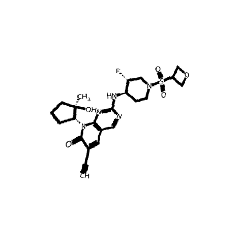 C#Cc1cc2cnc(N[C@@H]3CCN(S(=O)(=O)C4COC4)C[C@H]3F)nc2n([C@@H]2CCC[C@@]2(C)O)c1=O